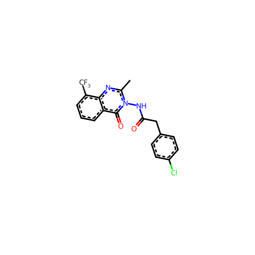 Cc1nc2c(C(F)(F)F)cccc2c(=O)n1NC(=O)Cc1ccc(Cl)cc1